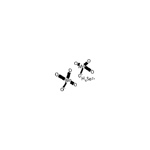 [O]=[Mn](=[O])(=[O])[O-].[O]=[Mn](=[O])(=[O])[O-].[SeH4+2]